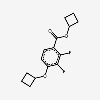 O=C(OC1CCC1)c1ccc(OC2CCC2)c(F)c1F